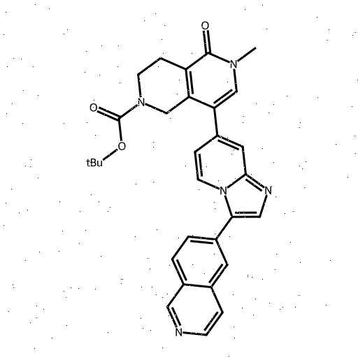 Cn1cc(-c2ccn3c(-c4ccc5cnccc5c4)cnc3c2)c2c(c1=O)CCN(C(=O)OC(C)(C)C)C2